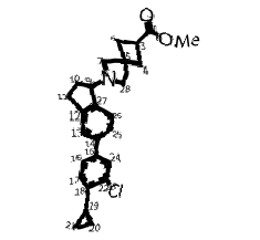 COC(=O)C1CC2(C1)CN(C1CCc3cc(-c4ccc(C5CC5)c(Cl)c4)ccc31)C2